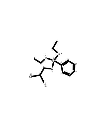 CCO[Si](OCC)(OCC(Cl)Cl)c1ccccc1